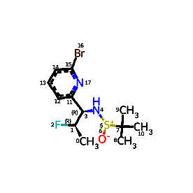 C[C@@H](F)[C@H](N[S+]([O-])C(C)(C)C)c1cccc(Br)n1